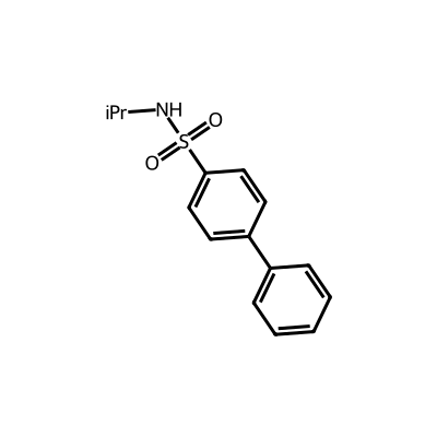 CC(C)NS(=O)(=O)c1ccc(-c2ccccc2)cc1